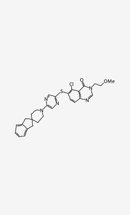 COCCn1cnc2ccc(Sc3cnc(N4CCC5(CC4)Cc4ccccc4C5)cn3)c(Cl)c2c1=O